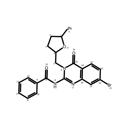 CC(C)C1CCC(Cn2c(NC(=O)c3ccccc3)nc3cc(Br)ccc3c2=O)O1